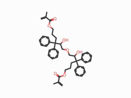 C=C(C)C(=O)OCCCC(c1ccccc1)(c1ccccc1)C(O)COCC(O)C(CCCOC(=O)C(=C)C)(c1ccccc1)c1ccccc1